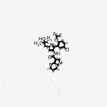 CC(C)(O)Cn1cc(NC(=O)c2cnn3cccnc23)c(-c2cc(Cl)ccc2OC(F)F)n1